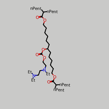 CCCCCC(CCCCC)C(=O)OCCCCCCC(CCCCCCOC(=O)C(CCCCC)CCCCC)OC(=O)OCCN(CC)CCN(CC)CC